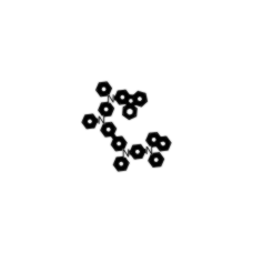 c1ccc(N(c2ccc(-c3ccc(N(c4ccccc4)c4ccc(N(c5ccccc5)c5cccc6ccccc56)cc4)cc3)cc2)c2ccc(N(c3ccccc3)c3ccc4c(c3)C3(CCCCC3)c3ccccc3-4)cc2)cc1